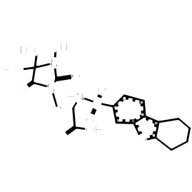 CN1C(=O)N(C[C@H](NS(=O)(=O)c2ccc3c4c(oc3c2)CCCC4)C(=O)O)C(=O)C1(C)C